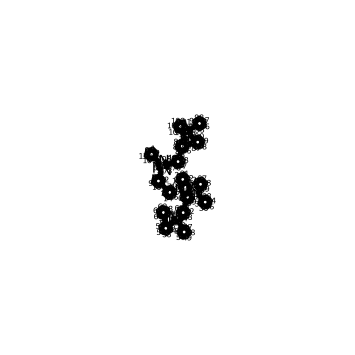 c1ccc(-c2nc(-c3cccc(-c4cccc(N5c6ccccc6B6c7ccccc7N(c7ccccc7)c7cc(-c8ccc9c(-c%10ccccc%10)c%10c%11ccccc%11c%11ccccc%11n%10c9c8)cc5c76)c4)c3)nc(-c3cccc(-c4ccc5c(c4)c4ccccc4c4c(-c6ccccc6)c6ccccc6n54)c3)n2)cc1